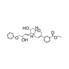 CCOC(=O)c1cccc(C2=CC[C@@H]3[C@@H](C=CC(O)COc4ccccc4)[C@H](O)C[C@@H]3OC2)c1